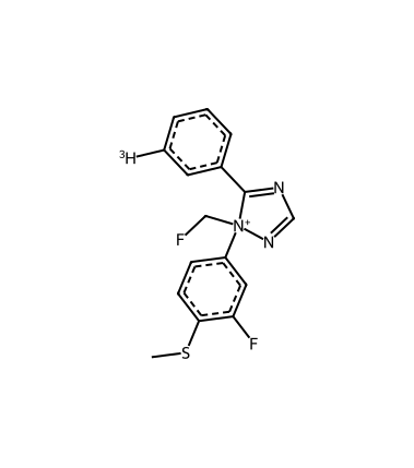 [3H]c1cccc(C2=NC=N[N+]2(CF)c2ccc(SC)c(F)c2)c1